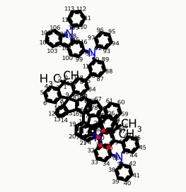 CC1(C)c2ccccc2C2(c3ccccc3-c3c(-c4cccc5c4c4ccccc4n5-c4cccc(N(c5ccccc5)c5ccccc5-c5cccc6c5C(C)(C)c5ccccc5C65c6ccccc6-c6ccccc65)c4)cccc32)c2ccc(-c3cccc(N(c4ccccc4)c4ccc5c6ccccc6n(-c6ccccc6)c5c4)c3)cc21